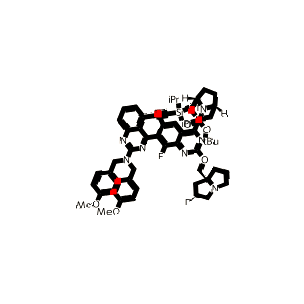 COc1ccc(CN(Cc2ccc(OC)cc2)c2nc(-c3c(F)cc4c(N5C[C@H]6CC[C@@H](C5)N6C(=O)OC(C)(C)C)nc(OC[C@@]56CCCN5C[C@H](F)C6)nc4c3F)c3c(C#C[Si](C(C)C)(C(C)C)C(C)C)cccc3n2)cc1